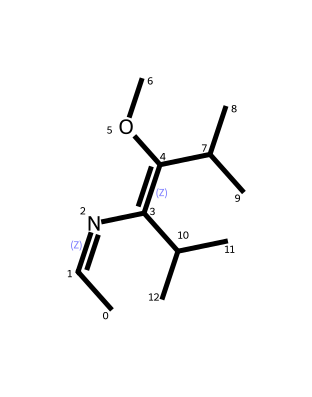 C/C=N\C(=C(/OC)C(C)C)C(C)C